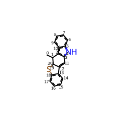 CC1c2c([nH]c3ccccc23)C=C2c3ccccc3SC21